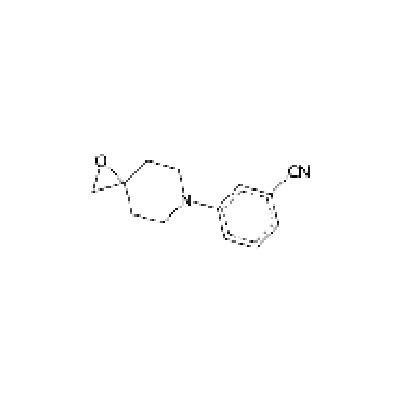 N#Cc1cccc(N2CCC3(CC2)CO3)c1